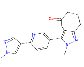 Cn1cc(-c2ccc(-c3c4c(nn3C)CCCC4=O)cn2)cn1